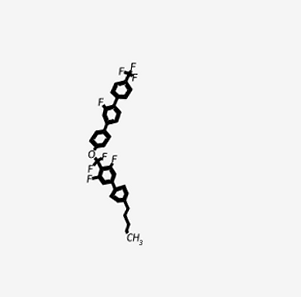 CCCCCc1ccc(-c2cc(F)c(C(F)(F)Oc3ccc(-c4ccc(-c5ccc(C(F)(F)F)cc5)c(F)c4)cc3)c(F)c2)cc1